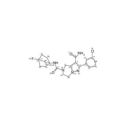 NC(=O)c1c(-c2cccc(Cl)c2)nn2c1CN(C(=O)NC13CCC(F)(CC1)CC3)CC2